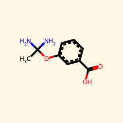 CC(N)(N)Oc1cccc(C(=O)O)c1